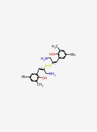 Cc1cc(C(C)(C)C)cc(/C=C(\CN)SS/C(=C/c2cc(C(C)(C)C)cc(C)c2O)CN)c1O